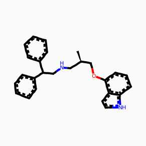 C[C@H](CNCC(c1ccccc1)c1ccccc1)COc1cccc2[nH]ccc12